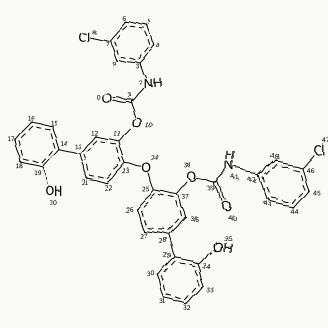 O=C(Nc1cccc(Cl)c1)Oc1cc(-c2ccccc2O)ccc1Oc1ccc(-c2ccccc2O)cc1OC(=O)Nc1cccc(Cl)c1